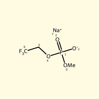 COP(=O)([O-])OCC(F)(F)F.[Na+]